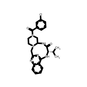 CC(C)[C@@H]1Nc2nc(nc3ccccc23)CN2CCN(C(=O)c3cccc(Cl)c3)CC2NC1=O